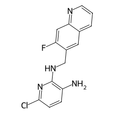 Nc1ccc(Cl)nc1NCc1cc2cccnc2cc1F